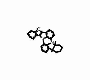 CC12CCCCC1(C)N1c3cccc4c3B(c3cccc2c31)c1c-4oc2ccccc12